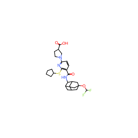 O=C(NC1C2CC3CC1CC(OC(F)F)(C3)C2)c1ccc(N2CCC(C(=O)O)C2)nc1SC1CCCC1